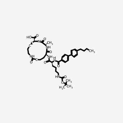 CCCCc1ccc(-c2ccc(C(=O)N[C@@H](CCCCNC(=O)OC(C)(C)C)C(=O)N[C@H]3CCCC(=O)NCCCC[C@@H](C(=O)O)NC(=O)[C@H](C)NC3=O)cc2)cc1